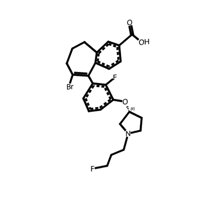 O=C(O)c1ccc2c(c1)CCCC(Br)=C2c1cccc(O[C@@H]2CCN(CCCF)C2)c1F